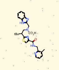 Cc1cccnc1CNC(=O)c1csc(C(CN(Cc2nc3ccccc3[nH]2)C(=O)O)C(C)(C)C)n1